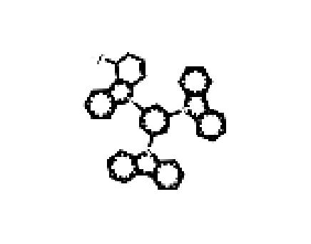 CC1CC=Cc2c1c1ccccc1n2-c1cc(-n2c3ccccc3c3ccccc32)cc(-n2c3ccccc3c3ccccc32)c1